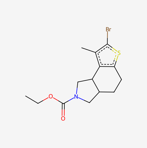 CCOC(=O)N1CC2CCc3sc(Br)c(C)c3C2C1